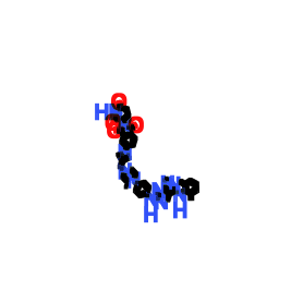 Cc1cccc(C)c1Nc1nn(C)c2nc(Nc3ccc(N4CCN(CC5CN(c6ccc7c(c6)C(=O)N(C6CCC(=O)NC6=O)C7=O)C5)C[C@@H]4C)cc3)ncc12